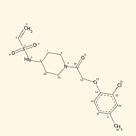 C=CS(=O)(=O)NC1CCN(C(=O)COc2ccc(C)cc2Cl)CC1